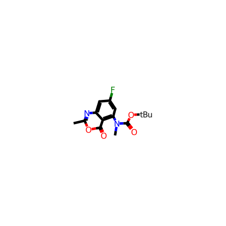 Cc1nc2cc(F)cc(N(C)C(=O)OC(C)(C)C)c2c(=O)o1